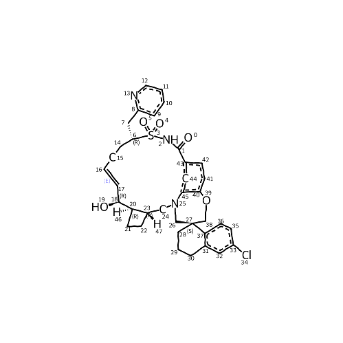 O=C1NS(=O)(=O)[C@@H](Cc2ccccn2)CC/C=C/[C@H](O)[C@@H]2CC[C@H]2CN2C[C@@]3(CCCc4cc(Cl)ccc43)COc3ccc1cc32